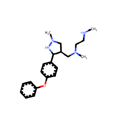 CNCCN(C)CC1CN(C)NC1c1ccc(Oc2ccccc2)cc1